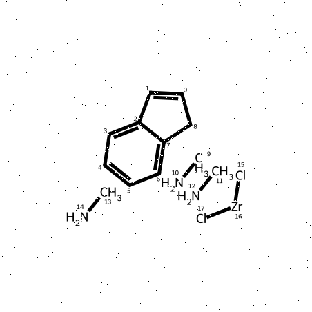 C1=Cc2ccccc2C1.CN.CN.CN.[Cl][Zr][Cl]